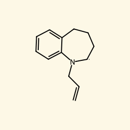 C=CCN1[CH]CCCc2ccccc21